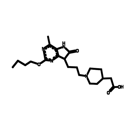 CCCCOc1nc(C)c2c(n1)C(CCCN1CCC(CC(=O)O)CC1)C(=O)N2